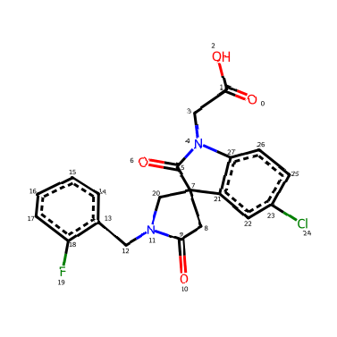 O=C(O)CN1C(=O)C2(CC(=O)N(Cc3ccccc3F)C2)c2cc(Cl)ccc21